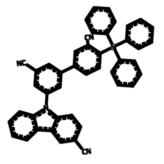 N#Cc1cc(-c2ccc([Si](c3ccccc3)(c3ccccc3)c3ccccc3)c(C#N)c2)cc(-n2c3ccccc3c3cc(C#N)ccc32)c1